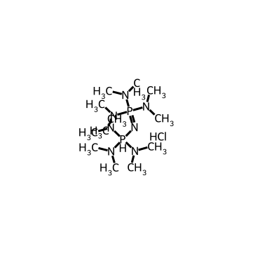 CN(C)P(=N[PH](N(C)C)(N(C)C)N(C)C)(N(C)C)N(C)C.Cl